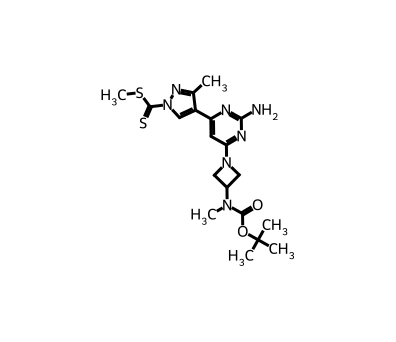 CSC(=S)n1cc(-c2cc(N3CC(N(C)C(=O)OC(C)(C)C)C3)nc(N)n2)c(C)n1